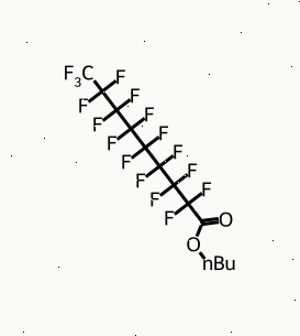 CCCCOC(=O)C(F)(F)C(F)(F)C(F)(F)C(F)(F)C(F)(F)C(F)(F)C(F)(F)C(F)(F)F